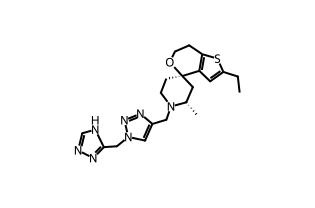 CCc1cc2c(s1)CCO[C@@]21CCN(Cc2cn(Cc3nnc[nH]3)nn2)[C@@H](C)C1